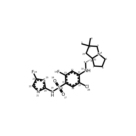 CC1(C)CN2CCC[C@@]2(CNc2cc(F)c(S(=O)(=O)Nc3ncc(F)s3)cc2Cl)C1